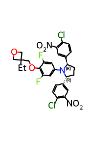 CCC1(COc2c(F)cc(N3[C@@H](c4ccc(Cl)c([N+](=O)[O-])c4)CC[C@@H]3c3ccc(Cl)c([N+](=O)[O-])c3)cc2F)COC1